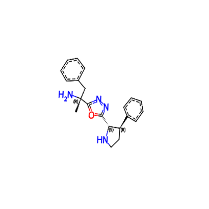 C[C@@](N)(Cc1ccccc1)c1nnc([C@H]2NCC[C@@H]2c2ccccc2)o1